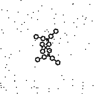 c1ccc(-c2ccc(N(c3ccc(-c4ccccc4)cc3)c3cccc(C4(c5cccc(N(c6ccc(-c7ccccc7)cc6)c6ccc(-c7ccccc7)cc6)c5)c5ccccc5-c5ccccc54)c3)cc2)cc1